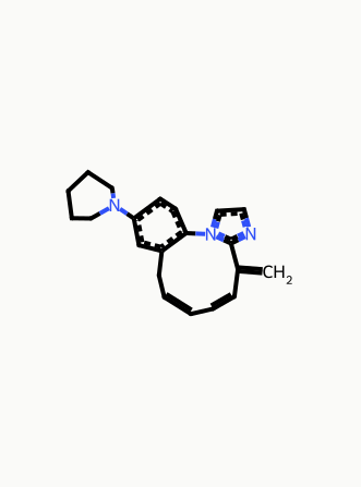 C=C1/C=C\C=C/Cc2cc(N3CCCCC3)ccc2-n2ccnc21